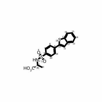 C[C@@H](NS(=O)(=O)c1ccc(-c2cc3ccccc3s2)cc1)C(=O)O